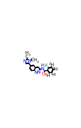 [2H]c1c([2H])c([2H])c(C(=O)Nc2cc3cc(-c4cnc(C)n4C)ccc3nn2)c(F)c1[2H]